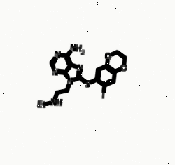 CCNCCn1c(Sc2cc3c(cc2I)OCCO3)nc2c(N)ncnc21